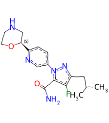 CC(C)Cc1nn(-c2ccc([C@@H]3CNCCO3)nc2)c(C(N)=O)c1F